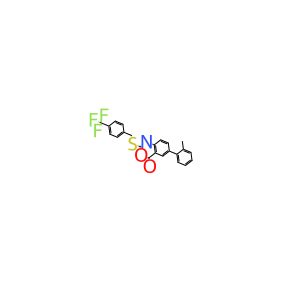 Cc1ccccc1-c1ccc2nc(SCc3ccc(C(F)(F)F)cc3)oc(=O)c2c1